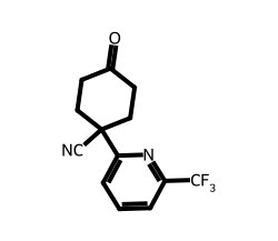 N#CC1(c2cccc(C(F)(F)F)n2)CCC(=O)CC1